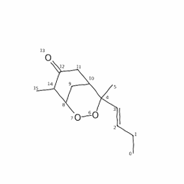 CCC=CC1(C)OOC2CC1CC(=O)C2C